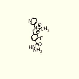 CS(=O)(=O)N(Cc1ccc(C(=O)NN)c(F)c1)c1cccnc1